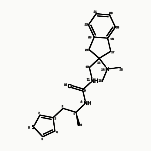 C[C@@H](Cc1ccsc1)NC(=O)NCC1(N(C)C)Cc2ccccc2C1